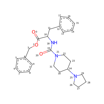 O=C(OCc1ccccc1)C(Cc1ccccc1)NC(=O)N1CCC(N2CCCC2)CC1